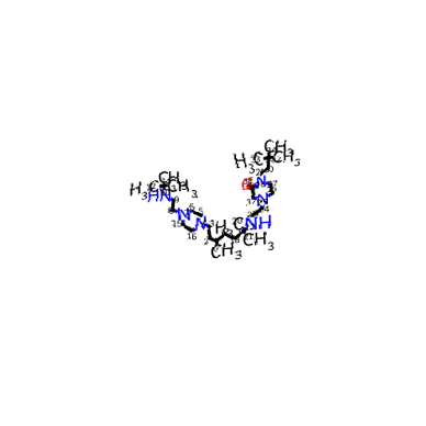 CC(CCN1CCN(CCNC(C)(C)C)CC1)CCC(C)(C)NCCN1CCN(CCC(C)(C)C)C(=O)C1